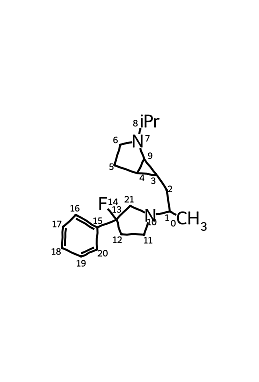 CC(CC1C2CCN(C(C)C)C21)N1CCC(F)(c2ccccc2)C1